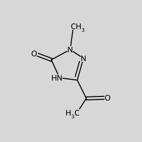 CC(=O)c1nn(C)c(=O)[nH]1